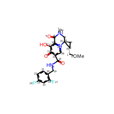 COC[C@H]1C[C@@]12CN(C(C)C)C(=O)c1c(O)c(=O)c(C(=O)NCc3ccc(F)cc3F)cn12